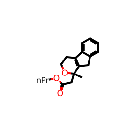 CCCOC(=O)CC1(C)OCCC2=C1Cc1ccccc12